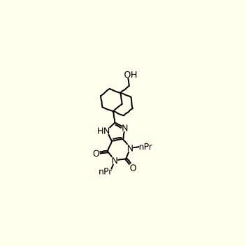 CCCn1c(=O)c2[nH]c(C34CCCC(CO)(CCC3)C4)nc2n(CCC)c1=O